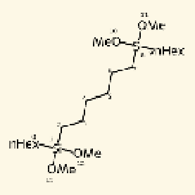 CCCCCC[Si](CCCCCC[Si](CCCCCC)(OC)OC)(OC)OC